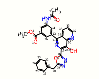 COC(=O)c1cc(NC(C)=O)cc(-c2nc(-c3nnc(Cc4ccccc4)o3)c(O)c3ncccc23)c1